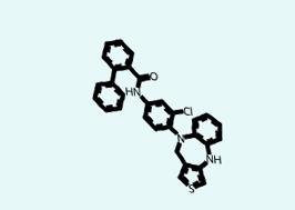 O=C(Nc1ccc(N2Cc3cscc3Nc3ccccc32)c(Cl)c1)c1ccccc1-c1ccccc1